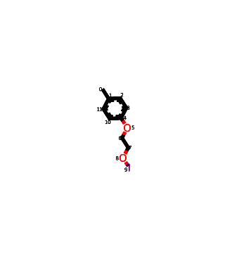 Cc1ccc(OCCOI)cc1